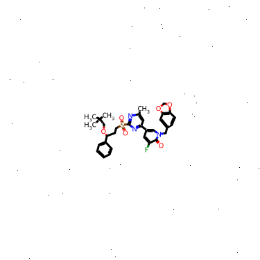 Cc1cc(-c2cc(F)c(=O)n(Cc3ccc4c(c3)OCO4)c2)nc(S(=O)(=O)CCC(OCC(C)(C)C)c2ccccc2)n1